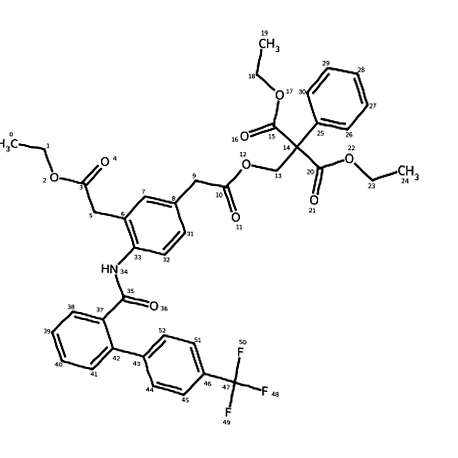 CCOC(=O)Cc1cc(CC(=O)OCC(C(=O)OCC)(C(=O)OCC)c2ccccc2)ccc1NC(=O)c1ccccc1-c1ccc(C(F)(F)F)cc1